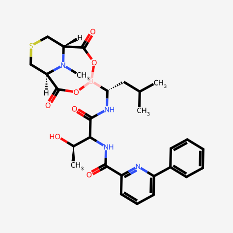 CC(C)C[C@H](NC(=O)C(NC(=O)c1cccc(-c2ccccc2)n1)[C@@H](C)O)B1OC(=O)[C@H]2CSC[C@H](C(=O)O1)N2C